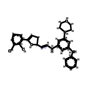 Clc1cccc(C2=CCC(/C=N/Nc3nc(Nc4ccccc4)nc(N4CCOCC4)n3)O2)c1Cl